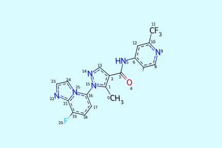 Cc1c(C(=O)Nc2ccnc(C(F)(F)F)c2)cnn1-c1ccc(F)c2nccn12